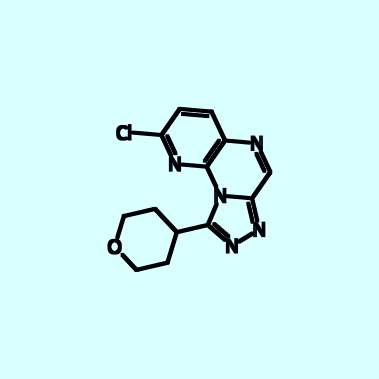 Clc1ccc2ncc3nnc(C4CCOCC4)n3c2n1